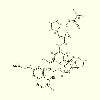 CCc1c(F)ccc2cc(OCOC)cc(-c3nc4c5c(nc(OCC6(CN7CCCC7COC(=O)N(C)C)CC6)nc5c3F)N3CC5CCC(C3CO4)N5C(=O)OC(C)(C)C)c12